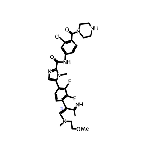 COCCN(C)/C=C(\C(C)=N)c1ccc(-c2cnc(C(=O)Nc3ccc(C(=O)N4CCNCC4)c(Cl)c3)n2C)c(F)c1F